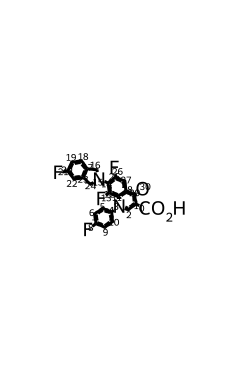 O=C(O)c1cn(-c2ccc(F)cc2)c2c(F)c(N3Cc4ccc(F)cc4C3)c(F)cc2c1=O